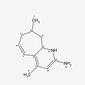 CC1=C2C=CCC(C)CC2NC(N)=C1